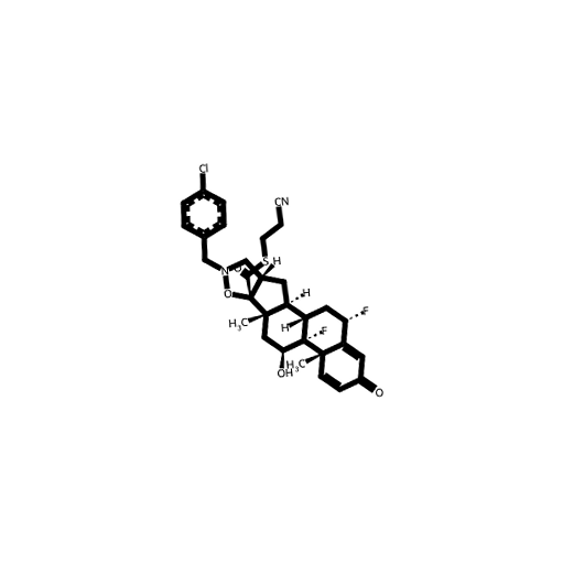 C[C@]12C=CC(=O)C=C1[C@@H](F)C[C@H]1[C@@H]3C[C@H]4CN(Cc5ccc(Cl)cc5)O[C@@]4(C(=O)SCCC#N)[C@@]3(C)C[C@H](O)[C@@]12F